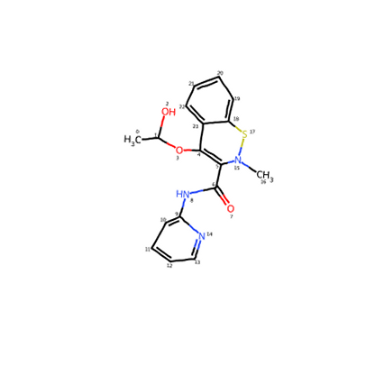 CC(O)OC1=C(C(=O)Nc2ccccn2)N(C)Sc2ccccc21